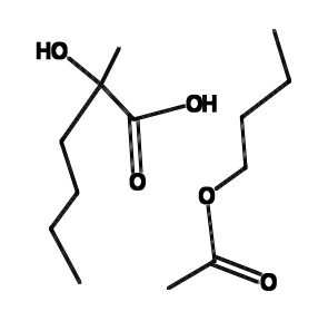 CCCCC(C)(O)C(=O)O.CCCCOC(C)=O